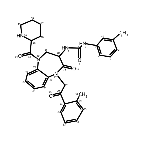 Cc1cccc(NC(=O)NC2CN(C(=O)C3CCCCN3)c3ccccc3N(CC(=O)c3ccccc3C)C2=O)c1